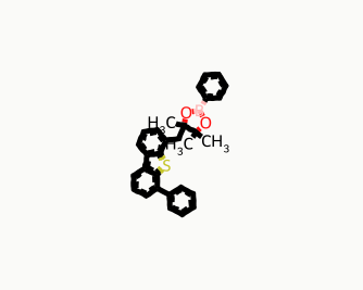 CC1(C)OB(c2ccccc2)OC1(C)Cc1cccc2c1sc1c(-c3ccccc3)cccc12